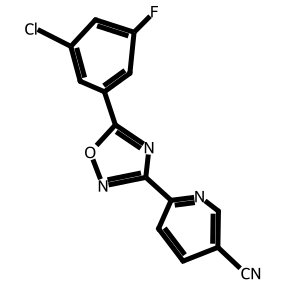 N#Cc1ccc(-c2noc(-c3cc(F)cc(Cl)c3)n2)nc1